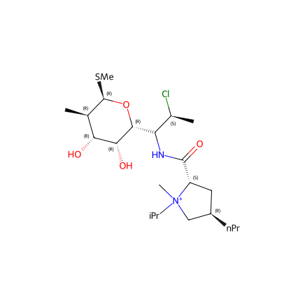 CCC[C@@H]1C[C@@H](C(=O)NC([C@H](C)Cl)[C@H]2O[C@H](SC)[C@H](C)[C@@H](O)[C@H]2O)[N+](C)(C(C)C)C1